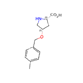 Cc1ccc(CO[C@@H]2CN[C@H](C(=O)O)C2)cc1